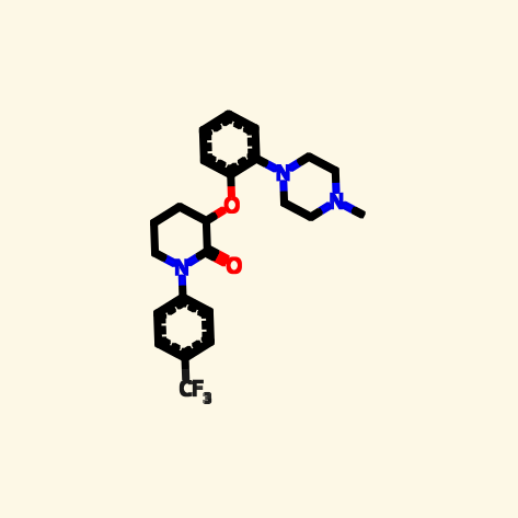 CN1CCN(c2ccccc2OC2CCCN(c3ccc(C(F)(F)F)cc3)C2=O)CC1